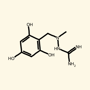 CN(Cc1c(O)cc(O)cc1O)NC(=N)N